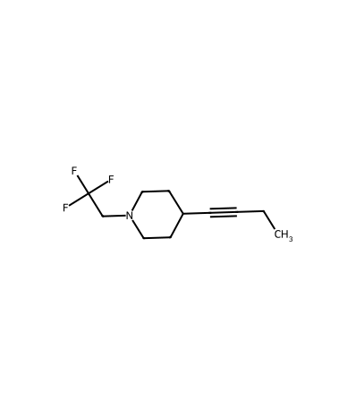 CCC#CC1CCN(CC(F)(F)F)CC1